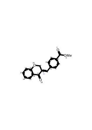 COC(=O)c1ccc(/C=C2\COc3ccccc3C2=O)cc1